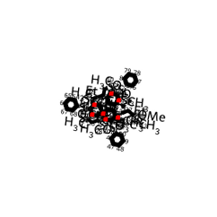 C=C[Si](C)(C)O[Si](O[Si](C)(C)CCC(C)(CC)[Si](C)(C)O[Si](O[Si](C)(C)CC[Si](C)(C)O[Si](O[Si](C)(C)CC[C@](C)(CC)[Si](C)(C)OC)(c1ccccc1)c1ccccc1)(c1ccccc1)c1ccccc1)(c1ccccc1)c1ccccc1